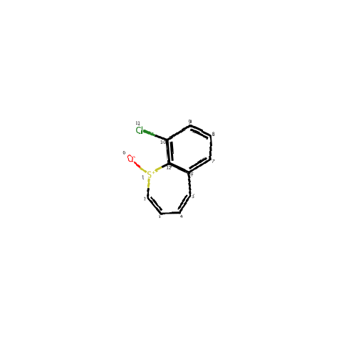 [O-][S+]1C=CC=Cc2cccc(Cl)c21